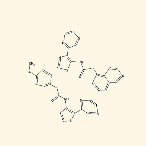 COc1ccc(CC(=O)Nc2ccsc2-c2cnccn2)cc1.O=C(Cc1cccc2cnccc12)Nc1scnc1-c1cnccn1